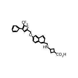 O=C(O)C1CC(NCc2ccc3cc(OCc4cc(-c5ccccc5)c(C(F)(F)F)s4)ccc3c2)C1